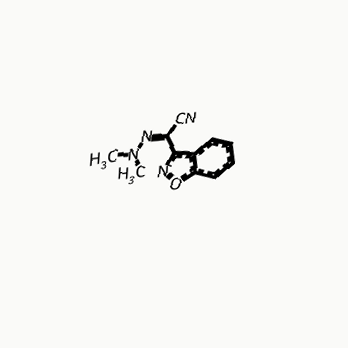 CN(C)/N=C(/C#N)c1noc2ccccc12